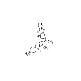 CCc1ncc(F)c(Nc2nn(C)c3c2CN(C(=O)C2(F)CCN(C)CC2)C3C)n1